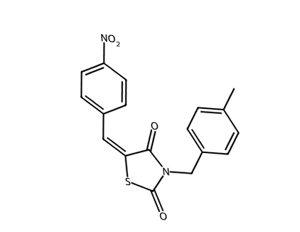 Cc1ccc(CN2C(=O)SC(=Cc3ccc([N+](=O)[O-])cc3)C2=O)cc1